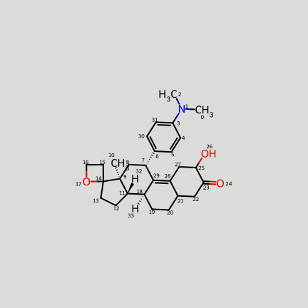 CN(C)c1ccc([C@H]2C[C@@]3(C)[C@@H](CCC34CCO4)[C@@H]3CCC4CC(=O)C(O)CC4=C32)cc1